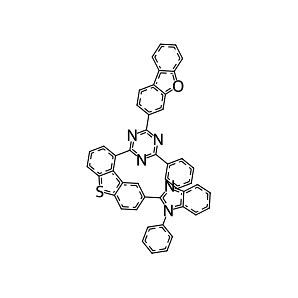 c1ccc(-c2nc(-c3ccc4c(c3)oc3ccccc34)nc(-c3cccc4sc5ccc(-c6nc7ccccc7n6-c6ccccc6)cc5c34)n2)cc1